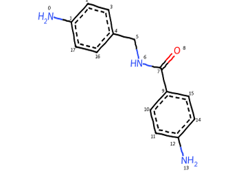 Nc1ccc(CNC(=O)c2ccc(N)cc2)cc1